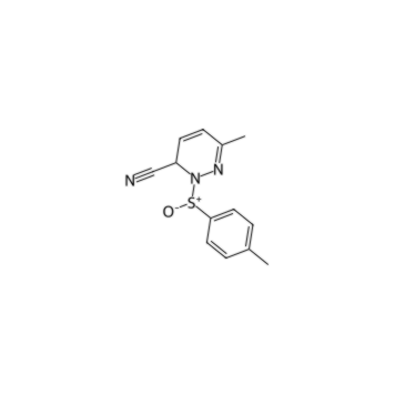 CC1=NN([S+]([O-])c2ccc(C)cc2)C(C#N)C=C1